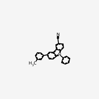 Cc1cccc(-c2ccc3c(c2)c2cc(C#N)ccc2n3-c2ccccc2)c1